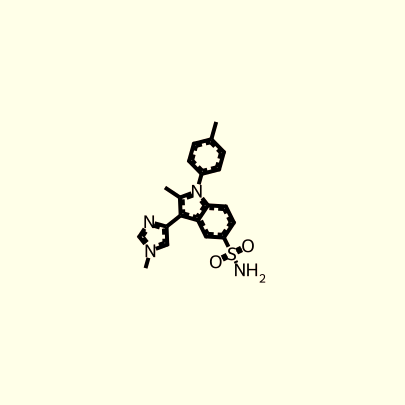 Cc1ccc(-n2c(C)c(-c3cn(C)cn3)c3cc(S(N)(=O)=O)ccc32)cc1